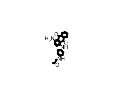 CC(=O)CNc1ccc(Nc2ccc(N)c3c2C(=O)c2ccccc2C3=O)cc1